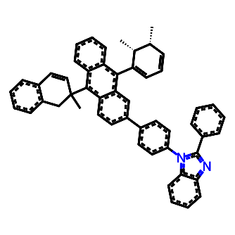 C[C@@H]1C=CC=C(c2c3ccccc3c(C3(C)C=Cc4ccccc4C3)c3ccc(-c4ccc(-n5c(-c6ccccc6)nc6ccccc65)cc4)cc23)[C@@H]1C